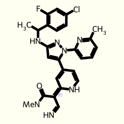 CNC(=O)/C(C=N)=C1\C=C(c2cc(NC(C)c3ccc(Cl)cc3F)nn2-c2cccc(C)n2)C=CN1